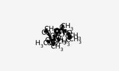 COC(=C1CN(C(=O)OC(C)(C)C)C1)c1cccc(OC2OC(COC(C)=O)C(OC(C)=O)C(OC(C)=O)C2OC(C)=O)c1Cl